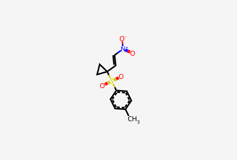 Cc1ccc(S(=O)(=O)C2(C=C[N+](=O)[O-])CC2)cc1